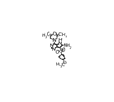 COc1ccc(S(=O)(=O)c2c(N)[nH]c3c(N4C[C@@H](C)O[C@@H](C)C4)ncnc23)cc1